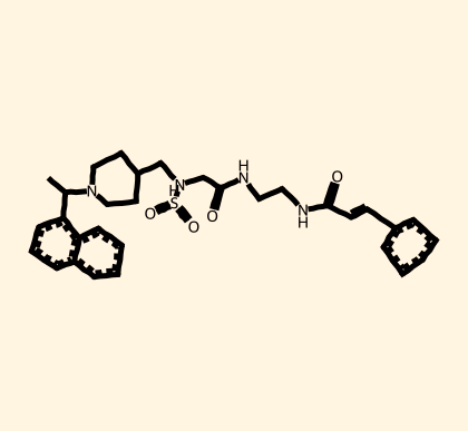 CC(c1cccc2ccccc12)N1CCC(CN(CC(=O)NCCNC(=O)C=Cc2ccccc2)[SH](=O)=O)CC1